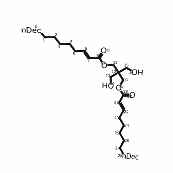 CCCCCCCCCCCCCCC/C=C/C(=O)OCC(CO)(CO)COC(=O)/C=C/CCCCCCCCCCCCCCC